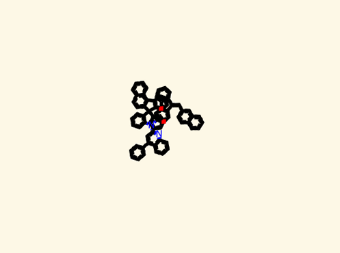 C(=C1\c2ccccc2-c2cc(N(c3cc(-c4ccccc4)c4ccccc4n3)c3ccccc3C3(c4ccccc4)c4ccccc4-c4c3ccc3ccccc43)ccc21)/c1ccc2ccccc2c1